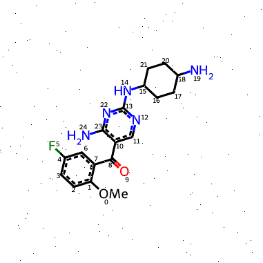 COc1ccc(F)cc1C(=O)c1cnc(NC2CCC(N)CC2)nc1N